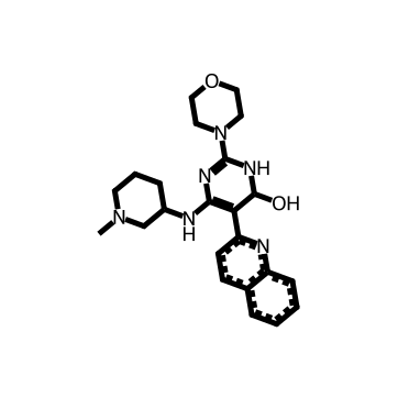 CN1CCCC(NC2=C(c3ccc4ccccc4n3)C(O)NC(N3CCOCC3)=N2)C1